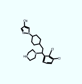 N#Cc1cnn(C2CCC(CC(c3cccc(Cl)c3Cl)N3CCNCC3)CC2)c1